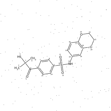 CC(C)(S)C(=O)c1ccc(S(=O)(=O)Nc2ccc3c(c2)OCCO3)cc1